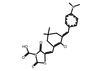 CN(C)c1ccc(/C=C2\CC(C)(C)CC(/C=C3/SC(=S)N(C(=O)O)C3=O)=C2Cl)cc1